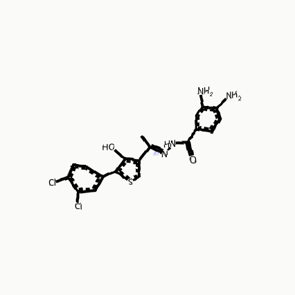 C/C(=N\NC(=O)c1ccc(N)c(N)c1)c1csc(-c2ccc(Cl)c(Cl)c2)c1O